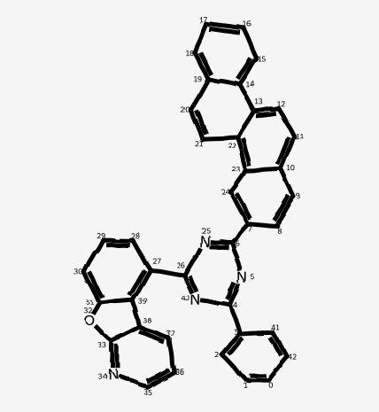 c1ccc(-c2nc(-c3ccc4ccc5c6ccccc6ccc5c4c3)nc(-c3cccc4oc5ncccc5c34)n2)cc1